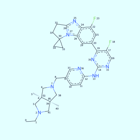 CCN1C[C@@]2(C)CN(Cc3ccc(Nc4ncc(F)c(-c5cc(F)c6nc7n(c6c5)C5(CC7)CC5)n4)nc3)C[C@@]2(C)C1